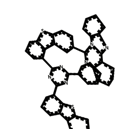 c1ccc(-c2nc(-c3cccc4c3sc3ccccc34)nc(-c3cccc4sc5ccc(-c6nc7ccccc7c7nc8ccccc8n67)cc5c34)n2)cc1